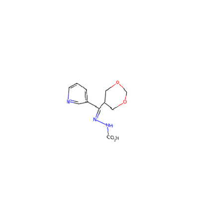 O=C(O)N/N=C(/c1cccnc1)C1COCOC1